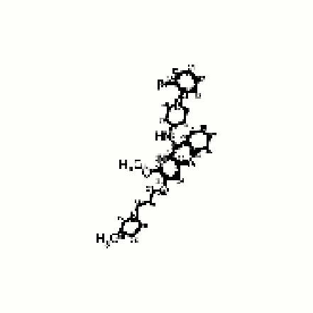 COc1nc2c(NC3CCN(c4ccccc4F)CC3)c3c(nc2cc1OCCCN1CCC(C)C1)CCCC3